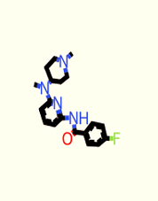 CN1CCC(N(C)c2cccc(NC(=O)c3ccc(F)cc3)n2)CC1